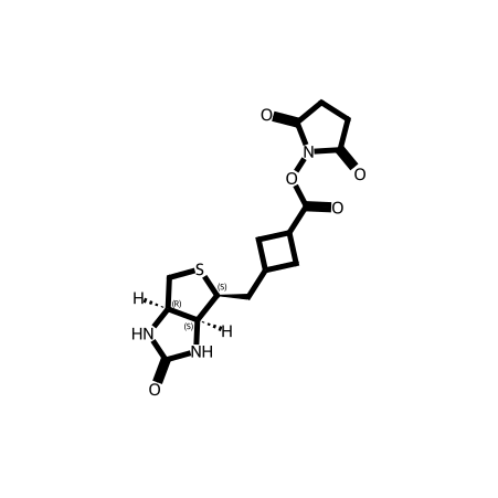 O=C1N[C@H]2[C@H](CS[C@H]2CC2CC(C(=O)ON3C(=O)CCC3=O)C2)N1